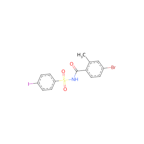 Cc1cc(Br)ccc1C(=O)NS(=O)(=O)c1ccc(I)cc1